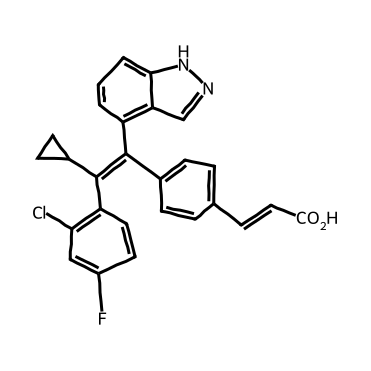 O=C(O)/C=C/c1ccc(/C(=C(\c2ccc(F)cc2Cl)C2CC2)c2cccc3[nH]ncc23)cc1